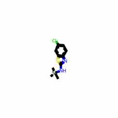 C[Si](C)(C)Nc1nc2ccc(Cl)cc2s1